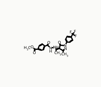 COC(=O)c1ccc(C(=O)NN/C(C)=C2\C(=O)N(c3ccc(C(F)(F)F)cc3)N=C2C)cc1